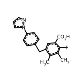 Cc1c(Cc2ccc(-n3cccn3)cc2)cc(C(=O)O)c(F)c1C